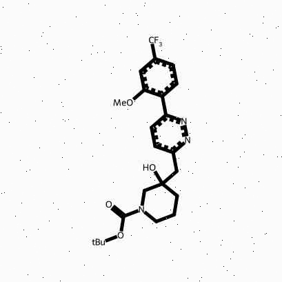 COc1cc(C(F)(F)F)ccc1-c1ccc(CC2(O)CCCN(C(=O)OC(C)(C)C)C2)nn1